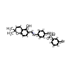 CC1(C)C=Cc2c(ccc(/C=N/c3ccc(NS(=O)(=O)c4cccc(Br)c4)cc3)c2O)O1